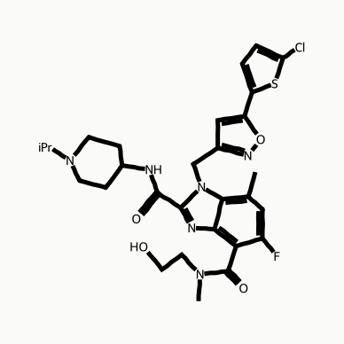 Cc1cc(F)c(C(=O)N(C)CCO)c2nc(C(=O)NC3CCN(C(C)C)CC3)n(Cc3cc(-c4ccc(Cl)s4)on3)c12